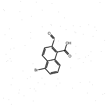 O=Ic1ccc2c(Br)cccc2c1C(=O)O